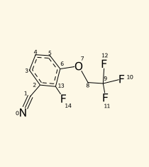 N#Cc1cccc(OCC(F)(F)F)c1F